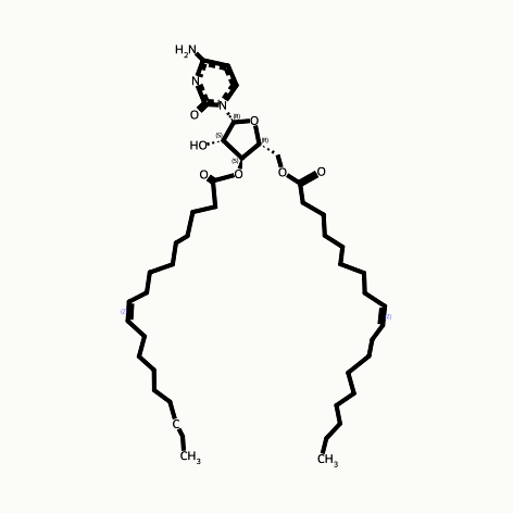 CCCCCCCC/C=C\CCCCCCCC(=O)OC[C@H]1O[C@@H](n2ccc(N)nc2=O)[C@@H](O)[C@@H]1OC(=O)CCCCCCC/C=C\CCCCCCCC